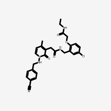 CCNC(=O)COc1ccc(Cl)cc1CNC(=O)Cc1c(C)ccn(NCc2ccc(C#N)cc2)c1=O